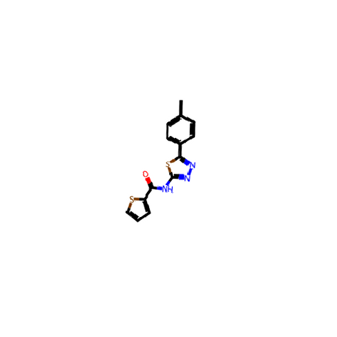 Cc1ccc(-c2nnc(NC(=O)c3cccs3)s2)cc1